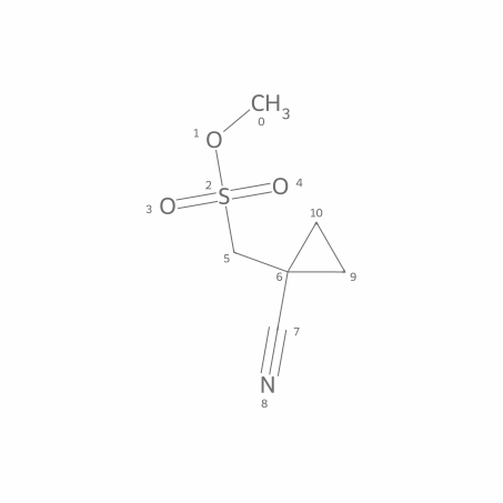 COS(=O)(=O)CC1(C#N)CC1